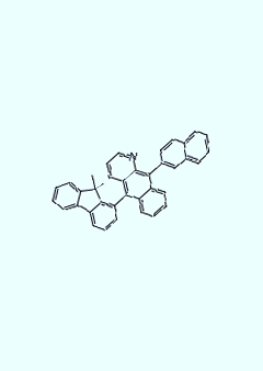 CC1(C)c2ccccc2-c2cccc(-c3c4ccccc4c(-c4ccc5ccccc5c4)c4ncccc34)c21